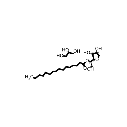 CCCCCCCCCCCCCCCC(=O)O[C@H](CO)[C@H]1OC[C@H](O)[C@H]1O.OCC(O)CO